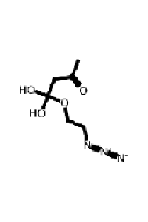 CC(=O)CC(O)(O)OCCN=[N+]=[N-]